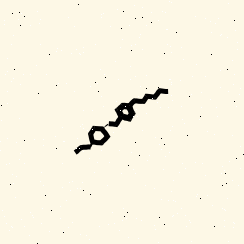 CCCCCCc1ccc(CC[C@H]2CC[C@H](CCC)CC2)cc1